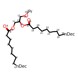 CCCCCCCCCCCCCCCCCC(=O)OCC(COC(C)C)OC(=O)CCCCCCCCCCCCCCCCC